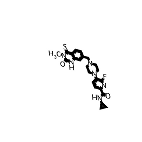 Cn1c(=O)[nH]c2cc(CN3CCN(c4ccc(C(=O)NC5CC5)nc4F)CC3)ccc2c1=S